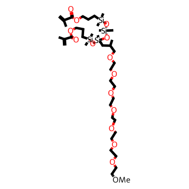 C=C(C)C(=O)OCCC[Si](C)(C)O[Si](C)(C)O[Si](C)(CC(C)COCCOCCOCCOCCOCCOCCOCCOC)O[Si](C)(C)CCCOC(=O)C(=C)C